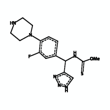 COC(=S)NC(c1ccc(N2CCNCC2)c(F)c1)c1c[nH]nn1